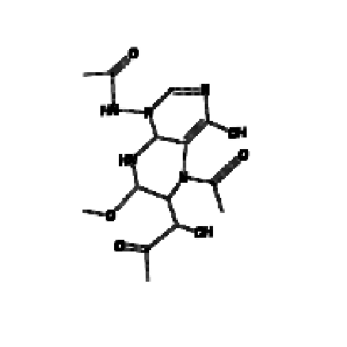 COC1NC2C(=C(O)N=CN2NC(C)=O)N(C(C)=O)C1C(O)C(C)=O